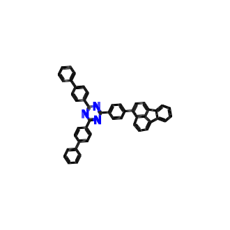 c1ccc(-c2ccc(-c3nc(-c4ccc(-c5ccccc5)cc4)nc(-c4ccc(-c5ccc6c7c(cccc57)-c5ccccc5-6)cc4)n3)cc2)cc1